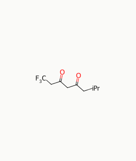 CC(C)CC(=O)CC(=O)CC(F)(F)F